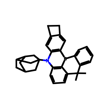 CC1(C)c2ccccc2B2c3cc4c(cc3N(C35CC6CC(C3)C(C6)C5)c3cccc1c32)CC4